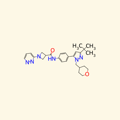 CC(C)(C)c1cc(-c2ccc(NC(=O)C3CN(c4cccnn4)C3)cc2)n(CC2CCOCC2)n1